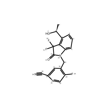 C[C@H](O)c1cccc2c1C(F)(F)C(=O)N2Cc1cc(C#N)ncc1F